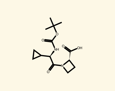 CC(C)(C)OC(=O)N[C@@H](C(=O)N1CC[C@H]1C(=O)O)C1CC1